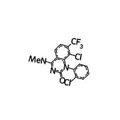 CNc1nc(=O)n(-c2ccccc2Cl)c2c(Cl)c(C(F)(F)F)ccc12